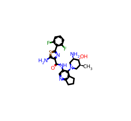 C[C@H]1CN(c2c(NC(=O)c3nc(-c4c(F)cccc4F)sc3N)cnc3c2CCC3)C[C@@H](N)[C@@H]1O